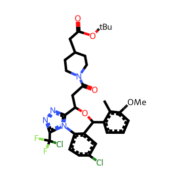 COc1cccc(C2OC(CC(=O)N3CCC(CC(=O)OC(C)(C)C)CC3)c3nnc(C(F)(F)Cl)n3-c3ccc(Cl)cc32)c1C